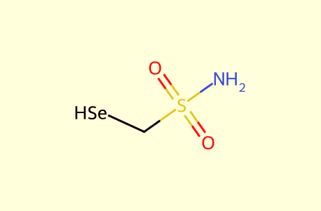 NS(=O)(=O)C[SeH]